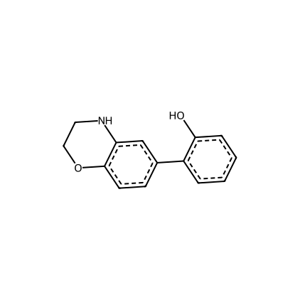 Oc1ccccc1-c1ccc2c(c1)NCCO2